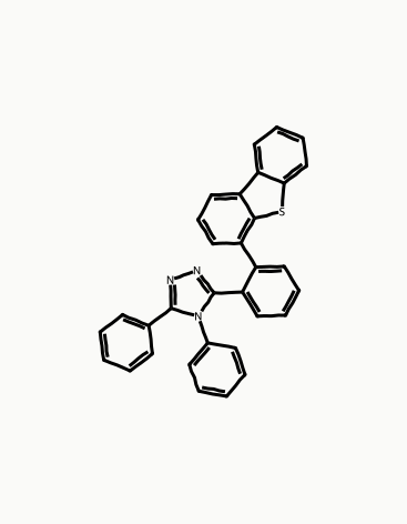 c1ccc(-c2nnc(-c3ccccc3-c3cccc4c3sc3ccccc34)n2-c2ccccc2)cc1